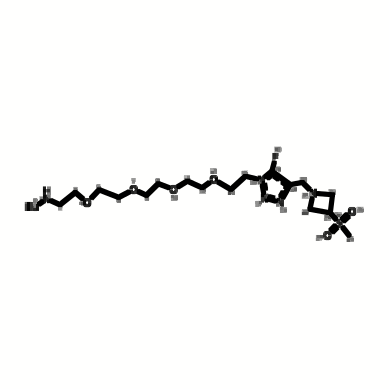 CCC(C)NCCOCCOCCOCCOCCn1nnc(CN2CC(S(C)(=O)=O)C2)c1F